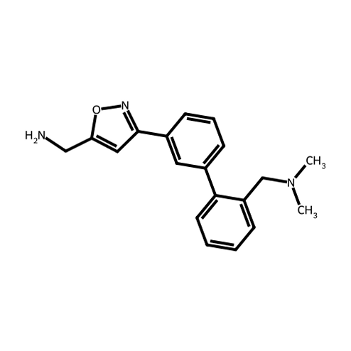 CN(C)Cc1ccccc1-c1cccc(-c2cc(CN)on2)c1